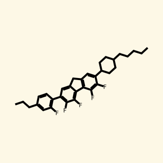 CCCCCC1CCC(c2cc3c(c(F)c2F)-c2c(cc(-c4ccc(CCC)cc4F)c(F)c2F)C3)CC1